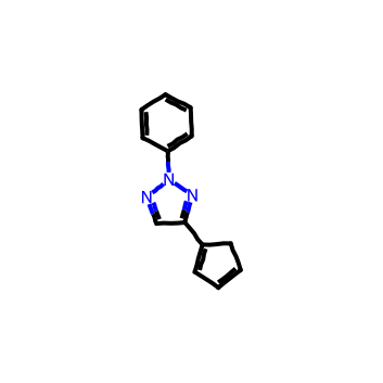 C1=CCC(c2cnn(-c3ccccc3)n2)=C1